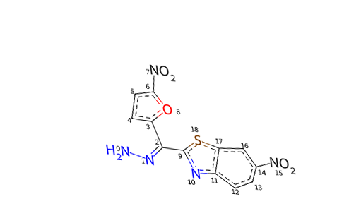 NN=C(c1ccc([N+](=O)[O-])o1)c1nc2ccc([N+](=O)[O-])cc2s1